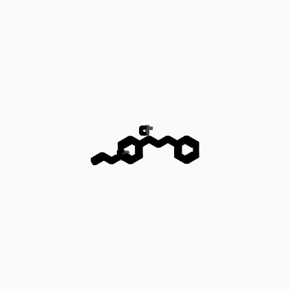 C=CC[n+]1ccc(CCCc2ccccc2)cc1.[Cl-]